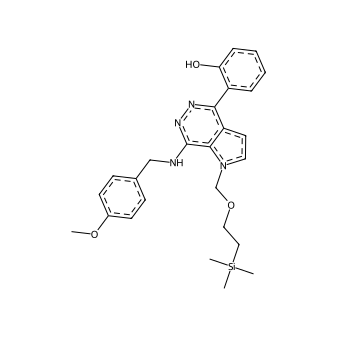 COc1ccc(CNc2nnc(-c3ccccc3O)c3ccn(COCC[Si](C)(C)C)c23)cc1